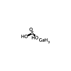 O=S(O)O.[GaH3]